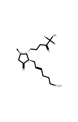 CCCC(F)(F)C(=O)CCC[C@H]1[C@H](C)CC(=O)[C@@H]1CC=CCCCC(=O)O